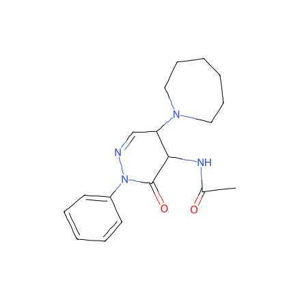 CC(=O)NC1C(=O)N(c2ccccc2)N=CC1N1CCCCCC1